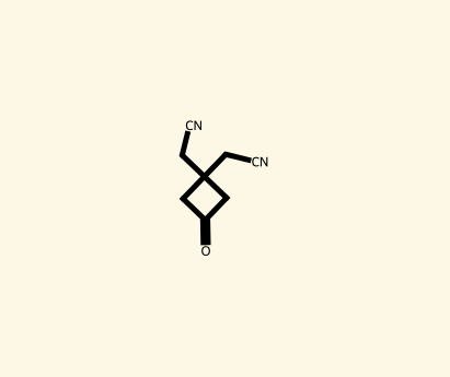 N#CCC1(CC#N)CC(=O)C1